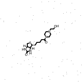 O=C1N[C@H]2[C@H](CS[C@H]2CCCCC(=O)N2CCN(CCO)CC2)N1